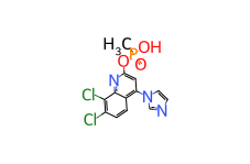 CP(=O)(O)Oc1cc(-n2ccnc2)c2ccc(Cl)c(Cl)c2n1